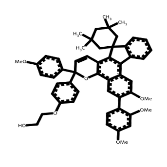 COc1ccc(C2(c3ccc(OCCO)cc3)C=Cc3c4c(c5cc(OC)c(-c6ccc(OC)cc6OC)cc5c3O2)-c2ccccc2C42CC(C)(C)CC(C)(C)C2)cc1